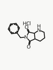 Cl.O=C1C2CCCNC2C(=O)N1Cc1ccccc1